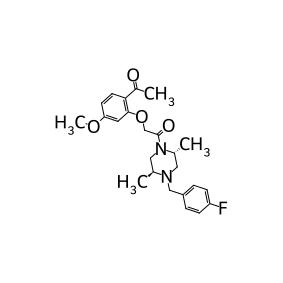 COc1ccc(C(C)=O)c(OCC(=O)N2C[C@H](C)N(Cc3ccc(F)cc3)C[C@H]2C)c1